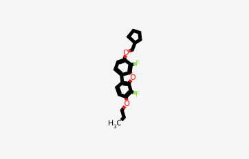 CCCOc1ccc2c(oc3c(F)c(OCC4CCCC4)ccc32)c1F